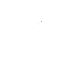 CC(C)(C)C1CCCCN1S(C)(=O)=O